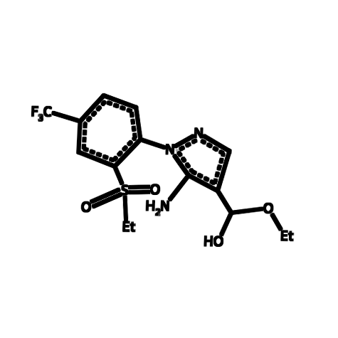 CCOC(O)c1cnn(-c2ccc(C(F)(F)F)cc2S(=O)(=O)CC)c1N